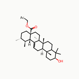 CC(=O)COC(=O)[C@]12CC[C@@H](C)[C@H](C)[C@H]1C1=CC[C@@H]3[C@@]4(C)CC[C@H](O)C(C)(C)C4CC[C@@]3(C)[C@]1(C)CC2